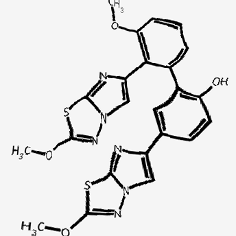 COc1nn2cc(-c3ccc(O)c(-c4cccc(OC)c4-c4cn5nc(OC)sc5n4)c3)nc2s1